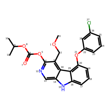 COCc1c(OC(=O)OC(C)C)ncc2[nH]c3cccc(Oc4cccc(Cl)c4)c3c12